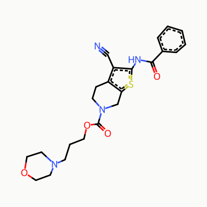 N#Cc1c(NC(=O)c2ccccc2)sc2c1CCN(C(=O)OCCCN1CCOCC1)C2